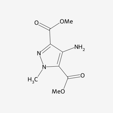 COC(=O)c1nn(C)c(C(=O)OC)c1N